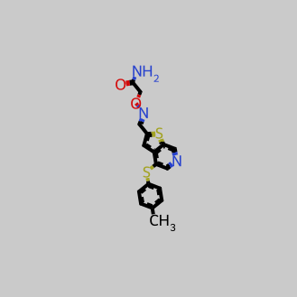 Cc1ccc(Sc2cncc3sc(/C=N/OCC(N)=O)cc23)cc1